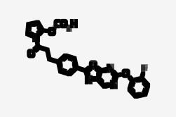 O=C(O)Oc1cccn1C(=O)CCc1ccc(-c2nc3cnc(Oc4ccccc4F)nc3o2)cc1